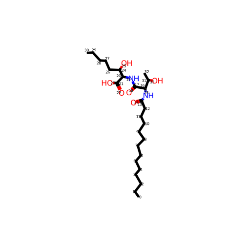 CCCCCCCCCCCCCC(=O)NC(C(=O)NC(C(=O)O)C(O)CCCCC)C(C)O